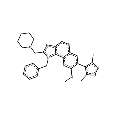 COc1cc2c(cc1-c1c(C)noc1C)ncc1nc(CN3CCCCC3)n(Cc3ccccc3)c12